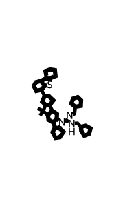 CC1(C)c2cc(-c3cccc4c3sc3ccccc34)ccc2-c2cc3c(cc21)c1ccccc1n3C(/N=C/c1ccccc1)NCc1ccccc1